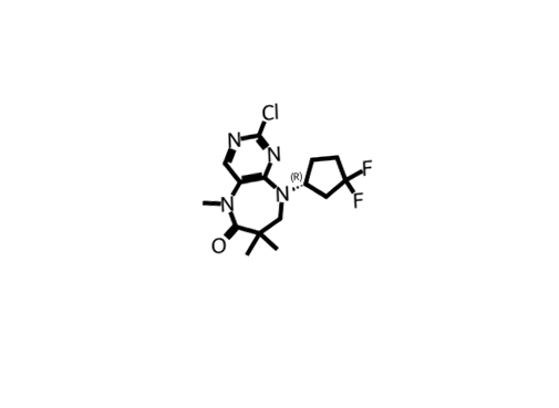 CN1C(=O)C(C)(C)CN([C@@H]2CCC(F)(F)C2)c2nc(Cl)ncc21